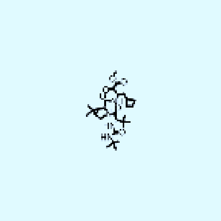 COC(=O)C(=O)C(CC1CCC1)NC(=O)C1C2C(CN1C(=O)[C@@H](NC(=O)NC(C)(C)C)C(C)(C)C)C2(C)C